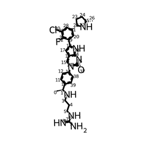 C[C@H](NCCCNC(=N)N)c1ccc(-n2cc3cc(-c4cc([C@@H]5CC[C@H](C)N5)cc(Cl)c4F)[nH]c3nc2=O)cc1